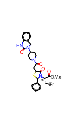 COC(=O)[C@H](CC(C)C)N1C(=O)C(CC(=O)N2CCC(N3Cc4ccccc4NC3=O)CC2)SC1c1ccccc1